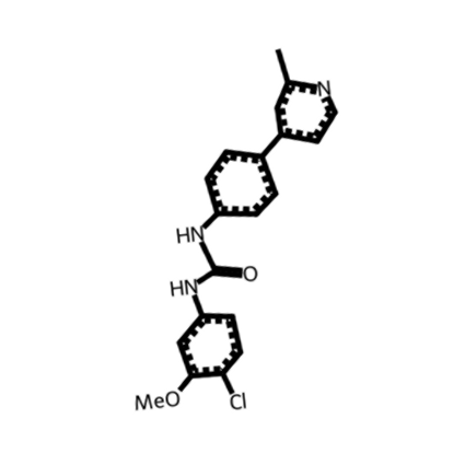 COc1cc(NC(=O)Nc2ccc(-c3ccnc(C)c3)cc2)ccc1Cl